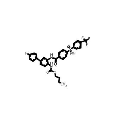 CCCCOC(=O)Nc1ccc(-c2ccc(F)cc2)cc1NC(=O)c1ccc(S(=N)(=O)c2ccc(C(F)(F)F)cc2)cc1